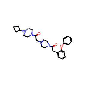 O=C(Cc1ccccc1Oc1ccccc1)N1CCN(CC(=O)N2CCN(C3CCC3)CC2)CC1